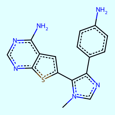 Cn1cnc(-c2ccc(N)cc2)c1-c1cc2c(N)ncnc2s1